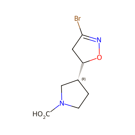 O=C(O)N1CC[C@@H](C2CC(Br)=NO2)C1